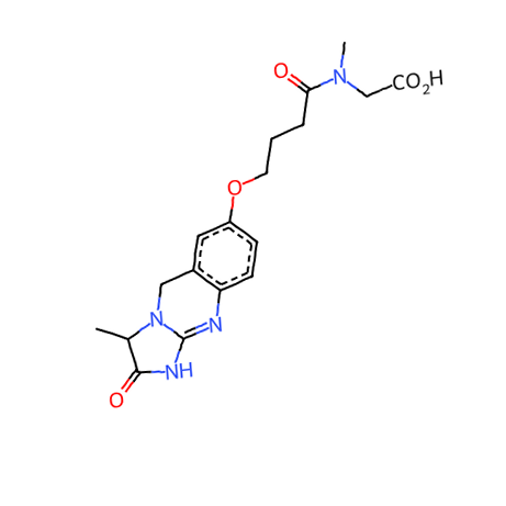 CC1C(=O)NC2=Nc3ccc(OCCCC(=O)N(C)CC(=O)O)cc3CN21